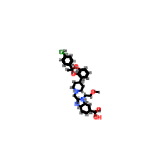 COCCN1C(CN2CCC(c3cccc4c3OC(C)(c3ccc(Cl)cc3)O4)CC2)=NC2C=CC(C(=O)O)=CC21